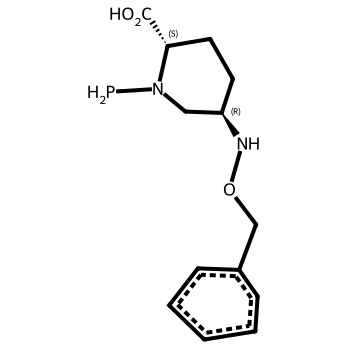 O=C(O)[C@@H]1CC[C@@H](NOCc2ccccc2)CN1P